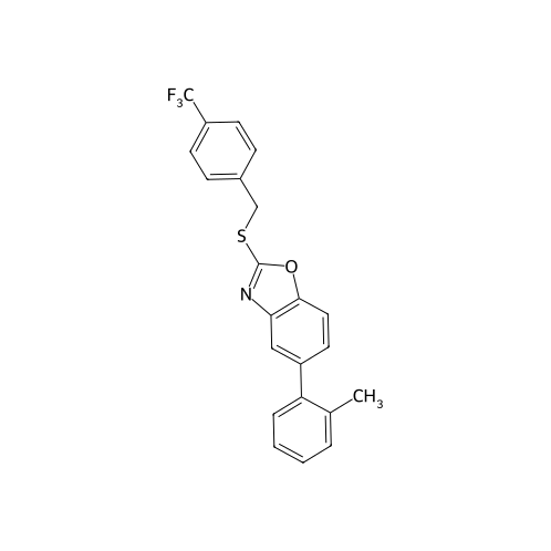 Cc1ccccc1-c1ccc2oc(SCc3ccc(C(F)(F)F)cc3)nc2c1